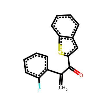 C=C(C(=O)c1cc2ccccc2s1)c1ccccc1F